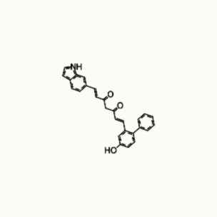 O=C(/C=C/c1ccc2cc[nH]c2c1)CC(=O)/C=C/c1cc(O)ccc1-c1ccccc1